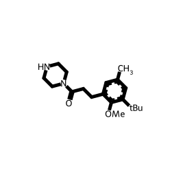 COc1c(CCC(=O)N2CCNCC2)cc(C)cc1C(C)(C)C